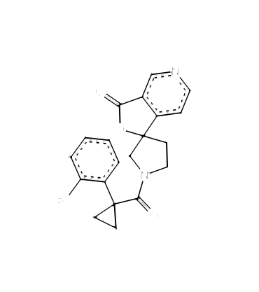 O=C1OC2(CCN(C(=O)C3(c4ccccc4Br)CC3)C2)c2ccncc21